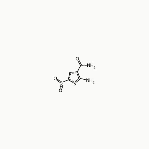 NC(=O)c1cc([SH](=O)=O)sc1N